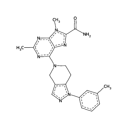 Cc1cccc(-n2ncc3c2CCN(c2nc(C)nc4c2nc(C(N)=O)n4C)C3)c1